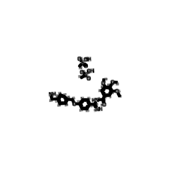 COc1cc(C(=O)NC(=N)c2ccc(OCc3ccc(CN)cc3)cc2)cc(OC)c1OC.CS(=O)(=O)O.CS(=O)(=O)O